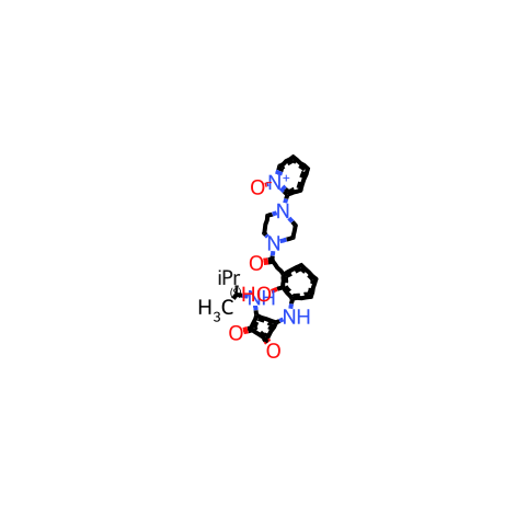 CC(C)[C@H](C)Nc1c(Nc2cccc(C(=O)N3CCN(c4cccc[n+]4[O-])CC3)c2O)c(=O)c1=O